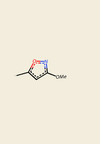 [CH2]c1cc(OC)no1